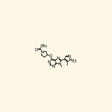 CCn1ncc(-c2nc3c(OC4CCN(C(=O)C(C)(C)C)C4)ncnc3n2C)c1C